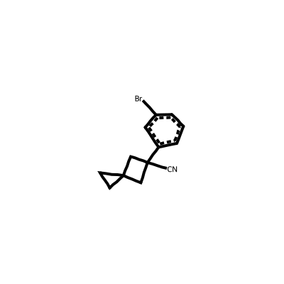 N#CC1(c2cccc(Br)c2)CC2(CC2)C1